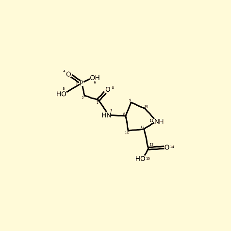 O=C(CP(=O)(O)O)NC1CCNC(C(=O)O)C1